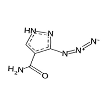 [N-]=[N+]=Nc1n[nH]cc1C(N)=O